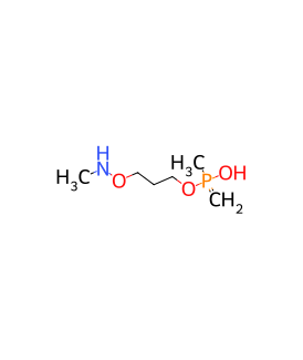 C=P(C)(O)OCCCONC